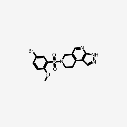 COc1ccc(Br)cc1S(=O)(=O)N1CCc2c(cnc3[nH]ncc23)C1